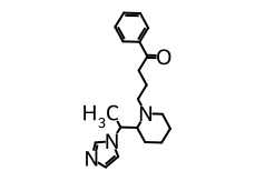 CC(C1CCCCN1CCCC(=O)c1ccccc1)n1ccnc1